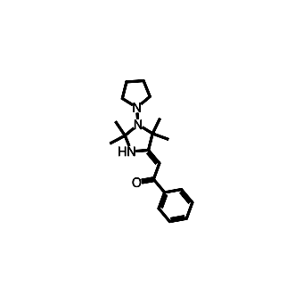 CC1(C)NC(=CC(=O)c2ccccc2)C(C)(C)N1N1CCCC1